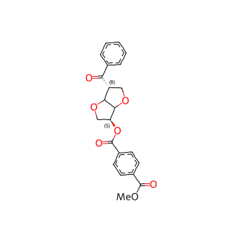 COC(=O)c1ccc(C(=O)O[C@H]2COC3C2OC[C@H]3C(=O)c2ccccc2)cc1